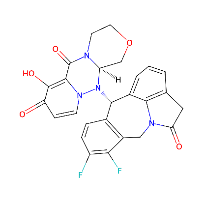 O=C1Cc2cccc3c2N1Cc1c(ccc(F)c1F)[C@@H]3N1[C@@H]2COCCN2C(=O)c2c(O)c(=O)ccn21